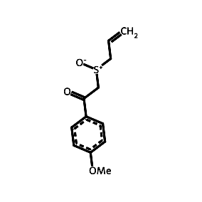 C=CC[S+]([O-])CC(=O)c1ccc(OC)cc1